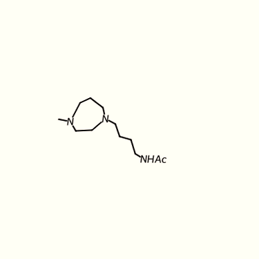 CC(=O)NCCCCN1CCCN(C)CC1